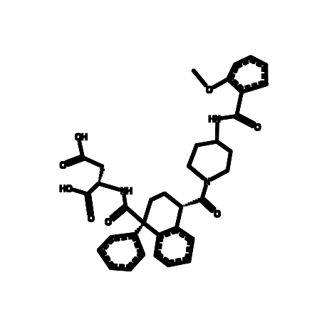 COc1ccccc1C(=O)NC1CCN(C(=O)[C@H]2CC[C@@](C(=O)N[C@@H](CC(=O)O)C(=O)O)(c3ccccc3)c3ccccc32)CC1